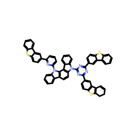 C1=Cc2c(sc3ccc(-c4nc(-c5ccc6sc7ccccc7c6c5)nc(-n5c6ccccc6c6c5ccc5c7ccccc7n(-c7cccc(-c8ccc9sc%10ccccc%10c9c8)n7)c56)n4)cc23)CC1